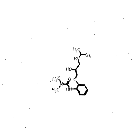 CC(C)NCC(O)COc1ccccc1NC(=O)N(C)C